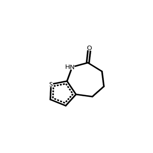 O=C1CCCc2ccsc2N1